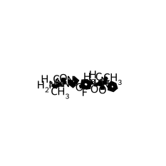 Cc1c(C(=O)Nc2ccc(Oc3ccnc(NC(=O)N(C)CC(C)N)c3)c(F)c2)c(=O)n(-c2ccccc2)n1C